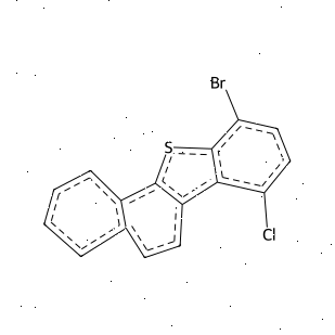 Clc1ccc(Br)c2sc3c4ccccc4ccc3c12